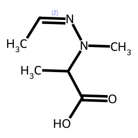 C/C=N\N(C)C(C)C(=O)O